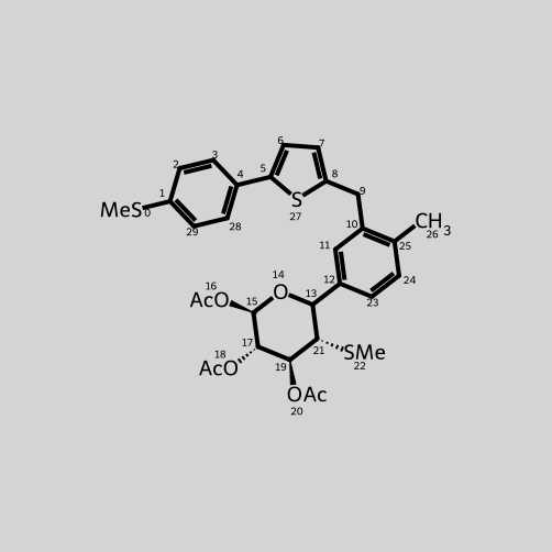 CSc1ccc(-c2ccc(Cc3cc(C4O[C@H](OC(C)=O)[C@@H](OC(C)=O)[C@H](OC(C)=O)[C@H]4SC)ccc3C)s2)cc1